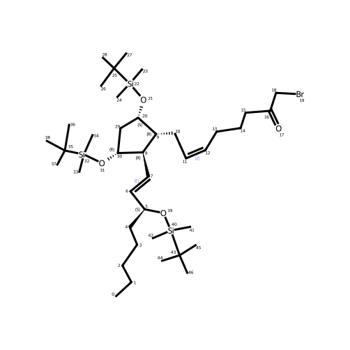 CCCCC[C@@H](/C=C/[C@@H]1[C@@H](C/C=C\CCCC(=O)CBr)[C@@H](O[Si](C)(C)C(C)(C)C)C[C@H]1O[Si](C)(C)C(C)(C)C)O[Si](C)(C)C(C)(C)C